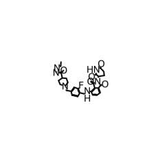 Cc1nnc(C2CCN(Cc3ccc(CNc4cccc5c4C(=O)N(C4CCC(=O)NC4=O)C5=O)c(F)c3)CC2)o1